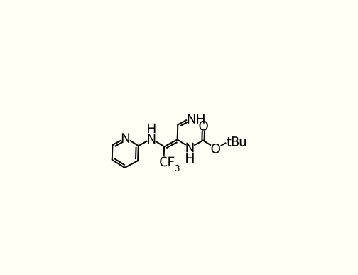 CC(C)(C)OC(=O)N/C(C=N)=C(/Nc1ccccn1)C(F)(F)F